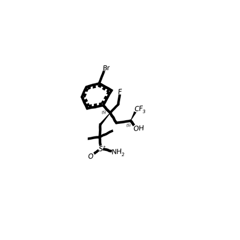 CC(C)(C[C@@](CF)(C[C@H](O)C(F)(F)F)c1cccc(Br)c1)[S+](N)[O-]